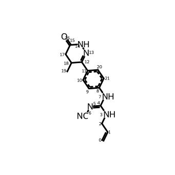 C=CCNC(=NC#N)Nc1ccc(C2=NNC(=O)CC2C)cc1